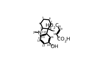 CN(C)C1CCCCC1(C)c1cccc(O)c1.O=C(O)C=CC(=O)O